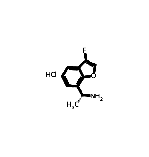 C[C@@H](N)c1cccc2c(F)coc12.Cl